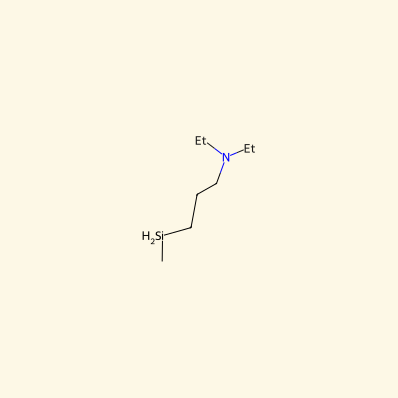 CCN(CC)CCC[SiH2]C